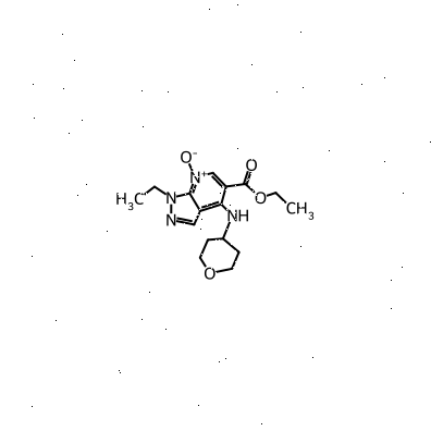 CCOC(=O)c1c[n+]([O-])c2c(cnn2CC)c1NC1CCOCC1